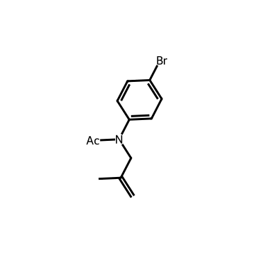 C=C(C)CN(C(C)=O)c1ccc(Br)cc1